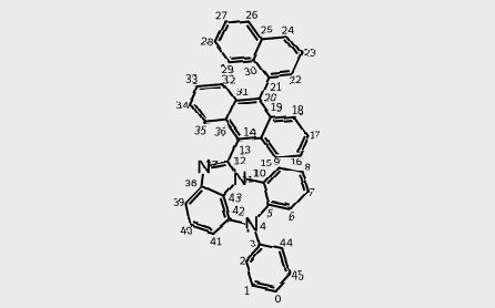 c1ccc(N2c3ccccc3-n3c(-c4c5ccccc5c(-c5cccc6ccccc56)c5ccccc45)nc4cccc2c43)cc1